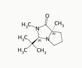 CN1C(=O)[C@@]2(C)CCCN2[C@H]1C(C)(C)C